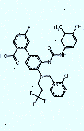 CC1=CC=C(NC(=O)Nc2cc(-c3cc(F)ccc3C(=O)O)ccc2N(CCC(F)(F)F)Cc2ccccc2Cl)CC1C